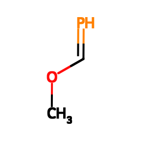 COC=P